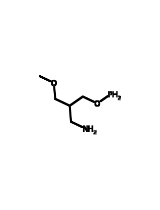 COCC(CN)COP